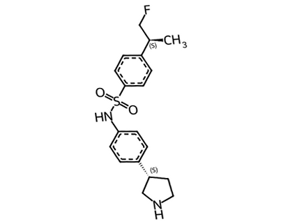 C[C@H](CF)c1ccc(S(=O)(=O)Nc2ccc([C@@H]3CCNC3)cc2)cc1